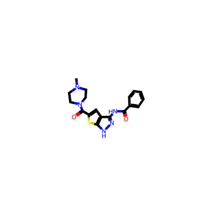 CN1CCN(C(=O)c2cc3c(NC(=O)c4ccccc4)n[nH]c3s2)CC1